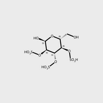 O=S(=O)(O)O[C@@H]1[C@@H](OS(=O)(=O)O)[C@@H](O)O[C@H](CO)[C@H]1OS(=O)(=O)O